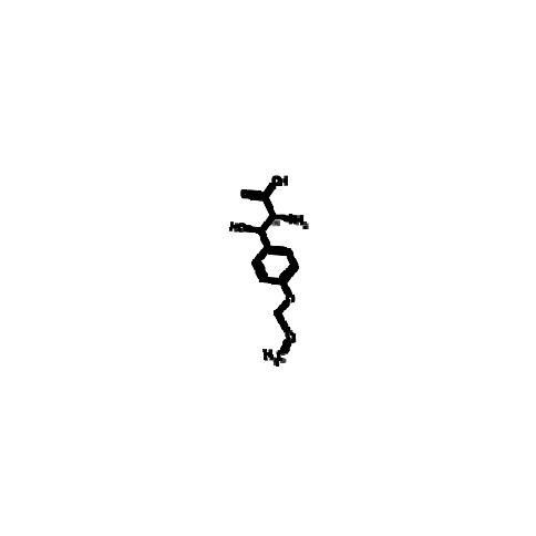 COCOc1ccc(C(O)[C@H](N)C(=O)O)cc1